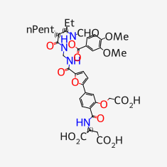 CCCCC[C@@H](C(=O)NCNC(=O)c1ccc(-c2ccc(C(=O)N[C@@H](CC(=O)O)C(=O)O)c(OCC(=O)O)c2)o1)[C@@H](CC)N(C=O)OC(=O)c1ccc(OC)c(OC)c1